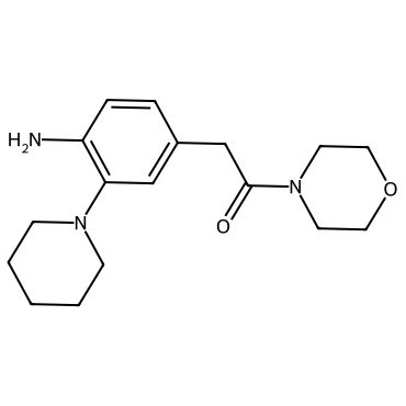 Nc1ccc(CC(=O)N2CCOCC2)cc1N1CCCCC1